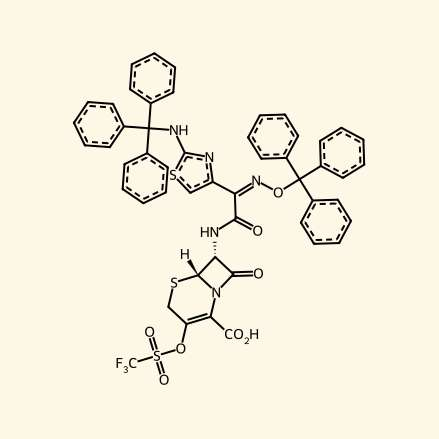 O=C(O)C1=C(OS(=O)(=O)C(F)(F)F)CS[C@@H]2[C@H](NC(=O)/C(=N\OC(c3ccccc3)(c3ccccc3)c3ccccc3)c3csc(NC(c4ccccc4)(c4ccccc4)c4ccccc4)n3)C(=O)N12